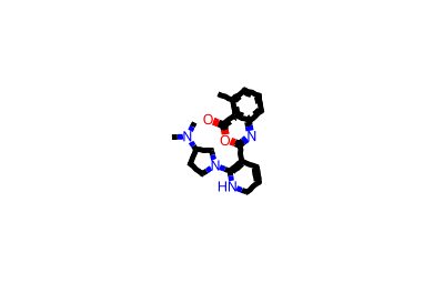 Cc1cccc2nc(C3=C(N4CCC(N(C)C)C4)NCC=C3)oc(=O)c12